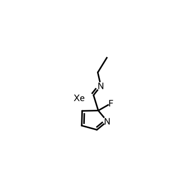 CCN=CC1(F)C=CC=N1.[Xe]